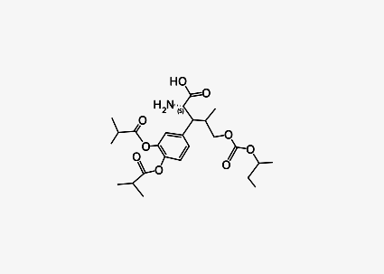 CCC(C)OC(=O)OCC(C)C(c1ccc(OC(=O)C(C)C)c(OC(=O)C(C)C)c1)[C@H](N)C(=O)O